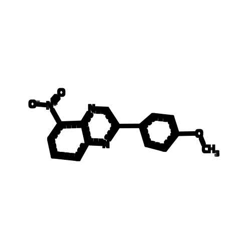 COc1ccc(-c2cnc3c([N+](=O)[O-])cccc3n2)cc1